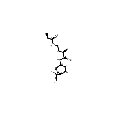 C=CC(=O)OCCC(=C)C(=O)OC1CCC2CC1OC2=O